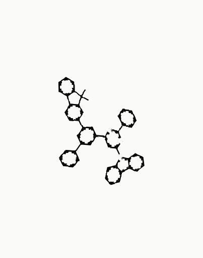 CC1(C)c2ccccc2-c2ccc(-c3cc(-c4ccccc4)cc(-c4cc(-n5c6ccccc6c6ccccc65)nc(-c5ccccc5)n4)c3)cc21